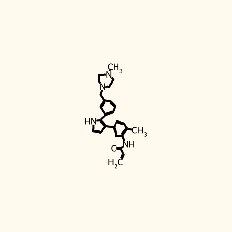 C=CC(=O)Nc1cc(-c2cc[nH]c2-c2cccc(CN3CCN(C)CC3)c2)ccc1C